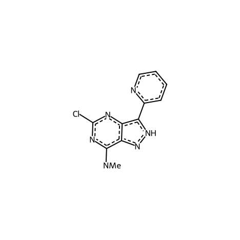 CNc1nc(Cl)nc2c(-c3ccccn3)[nH]nc12